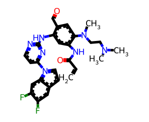 C=CC(=O)Nc1cc(Nc2nccc(-n3ccc4cc(F)c(F)cc43)n2)c(C=O)cc1N(C)CCN(C)C